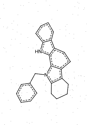 c1ccc(Cn2c3c(c4ccc5c6ccccc6[nH]c5c42)CCCC3)cc1